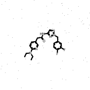 CCN(CC)c1ccc(CC(=O)Nc2cnn(Cc3ccc(F)c(F)c3)n2)cn1